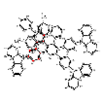 N#Cc1ccc2c(c1)c1cc(C#N)ccc1n2-c1c(-c2ccc(-n3c4ccccc4c4ccccc43)cc2)nc(-c2ccc(-n3c4ccccc4c4ccccc43)cc2)c(-c2ccc(-n3c4ccccc4c4ccccc43)cc2)c1-c1ccccc1-c1nc(-c2ccccc2)nc(-c2ccccc2)n1